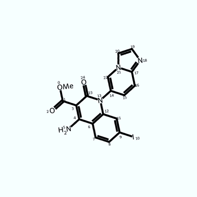 COC(=O)c1c(N)c2ccc(I)cc2n(-c2ccc3nccn3c2)c1=O